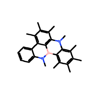 Cc1c(C)c(C)c2c(c1C)B1c3c(c(C)c(C)c(C)c3N2C)-c2ccccc2N1C